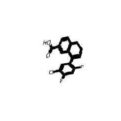 O=C(O)c1ccc2c(c1)C(c1cc(Cl)c(F)cc1F)=CCC2